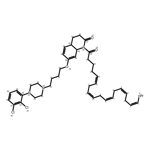 CCC/C=C\C/C=C\C/C=C\C/C=C\C/C=C\CCCC(=O)N1C(=O)CCC2C=CC(OCCCCN3CCN(c4cccc(Cl)c4Cl)CC3)=CC21